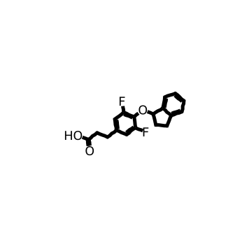 O=C(O)CCc1cc(F)c(OC2CCc3ccccc32)c(F)c1